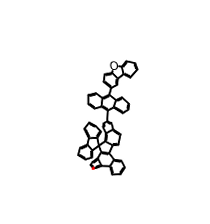 c1ccc2c(c1)-c1ccccc1C21c2c(ccc3cc(-c4c5ccccc5c(-c5ccc6oc7ccccc7c6c5)c5ccccc45)ccc23)-c2c1c1ccccc1c1ccccc21